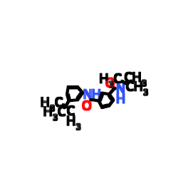 CC(C)(C)NC(=O)c1cccc(C(=O)Nc2cccc(C(C)(C)C)c2)c1